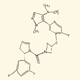 CN(C)c1cnn(C)c1-c1cc(OC2CN(C(=O)N3N=CC[C@H]3c3cc(F)cc(F)c3)C2)c(F)cn1